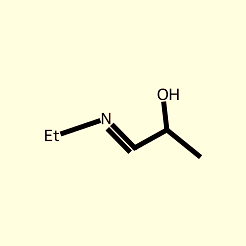 CCN=CC(C)O